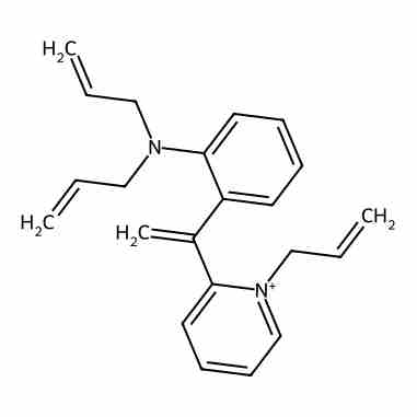 C=CCN(CC=C)c1ccccc1C(=C)c1cccc[n+]1CC=C